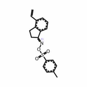 C=Cc1cccc2c1CC/C2=N\OS(=O)(=O)c1ccc(C)cc1